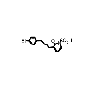 CCc1ccc(CCCCc2cccn(C(=O)O)c2=O)cc1